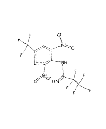 N=C(Nc1c([N+](=O)[O-])cc(C(F)(F)F)cc1[N+](=O)[O-])C(F)(F)C(F)(F)F